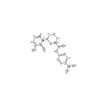 O=C(Oc1ccc([N+](=O)[O-])cc1)N1CCCC(n2nccc(Cl)c2=O)C1